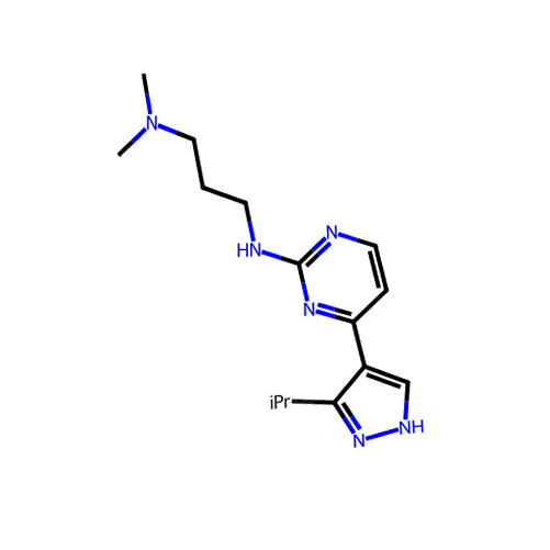 CC(C)c1n[nH]cc1-c1ccnc(NCCCN(C)C)n1